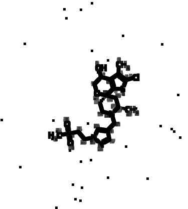 Cc1c(Cl)sc2c1C(O)CO[C@@]21CCN(Cc2cnn(CCS(C)(=O)=O)c2)[C@@H](C)C1